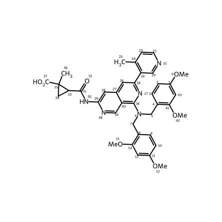 COc1ccc(CN(Cc2ccc(OC)cc2OC)c2nc(-c3cnccc3C)cc3cc(NC(=O)C4CC4(C)C(=O)O)ncc23)c(OC)c1